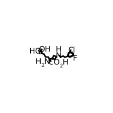 NC(CCCCB(O)O)(C(=O)O)C1CC(NCCCc2cc(F)cc(Cl)c2)C1